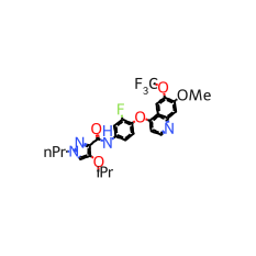 CCCn1cc(OC(C)C)c(C(=O)Nc2ccc(Oc3ccnc4cc(OC)c(OC(F)(F)F)cc34)c(F)c2)n1